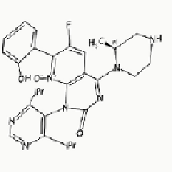 CC(C)c1ncnc(C(C)C)c1-n1c(=O)nc(N2CCNC[C@@H]2C)c2cc(F)c(-c3ccccc3O)[n+]([O-])c21